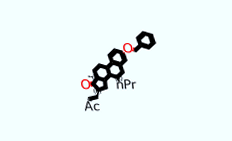 CCC[C@@H]1Cc2cc(OCc3ccccc3)ccc2C2CC[C@]3(C)C(=O)[C@H](CCC(C)=O)CC3C21